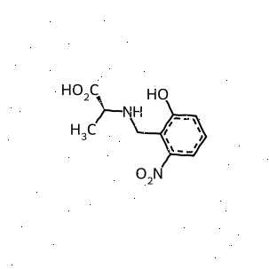 C[C@H](NCc1c(O)cccc1[N+](=O)[O-])C(=O)O